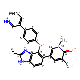 CN/C=C(\C=N)c1ccc(Oc2c(-c3cc(C)c(=O)n(C)c3)ccc3[nH]c(C)nc23)cc1